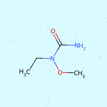 CCN(OC)C(N)=O